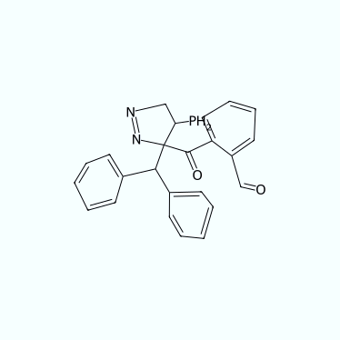 O=Cc1ccccc1C(=O)C1(C(c2ccccc2)c2ccccc2)N=NCC1P